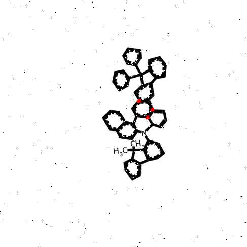 CC1(C)c2ccccc2-c2cccc(N(c3ccc4ccccc4c3-c3ccccc3)C3C=CC=C(c4ccc5c(c4)-c4ccccc4C5(c4ccccc4)c4ccccc4)C3)c21